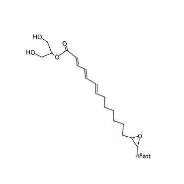 CCCCCC1OC1CCCCCCC=CC=CC=CC(=O)OC(CO)CO